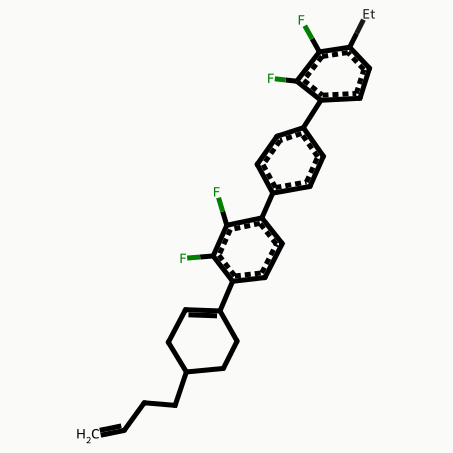 C=CCCC1CC=C(c2ccc(-c3ccc(-c4ccc(CC)c(F)c4F)cc3)c(F)c2F)CC1